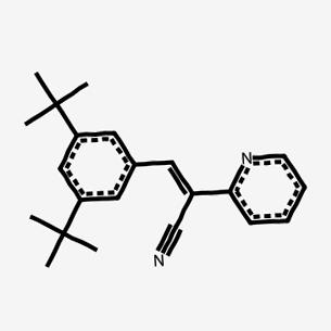 CC(C)(C)c1cc(/C=C(\C#N)c2ccccn2)cc(C(C)(C)C)c1